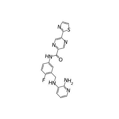 Nc1ncccc1NCc1cc(NC(=O)c2cnc(-c3nccs3)cn2)ccc1F